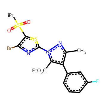 CCOC(=O)c1c(-c2cccc(F)c2)c(C)nn1-c1nc(Br)c(S(=O)(=O)C(C)C)s1